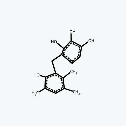 Cc1cc(C)c(O)c(Cc2ccc(O)c(O)c2O)c1C